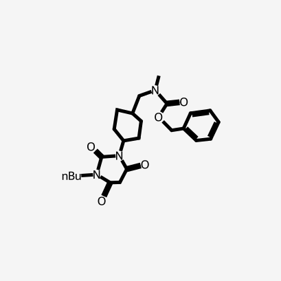 CCCCN1C(=O)CC(=O)N(C2CCC(CN(C)C(=O)OCc3ccccc3)CC2)C1=O